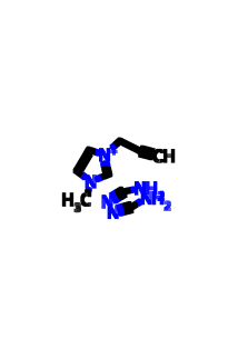 C#CC[n+]1ccn(C)c1.N#CN.N#CN